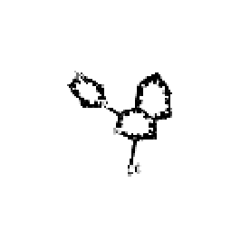 CCc1cc2ccccc2c(-n2ccnc2)n1